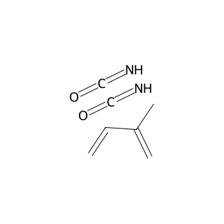 C=CC(=C)C.N=C=O.N=C=O